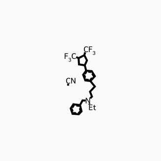 CC#N.CCN(CCCc1ccc(C2CC(C(F)(F)F)C(C(F)(F)F)C2)cc1)Cc1ccccc1